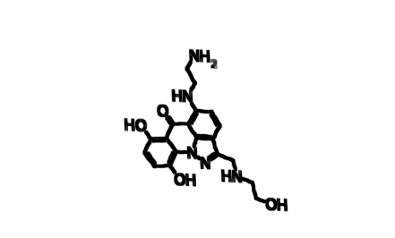 NCCNc1ccc2c(CNCCO)nn3c4c(O)ccc(O)c4c(=O)c1c23